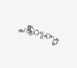 CC(C)(C)CC(C)(C)NC(=O)c1ccc(OC(=O)N2CCN(Cc3cnccn3)CC2)cc1